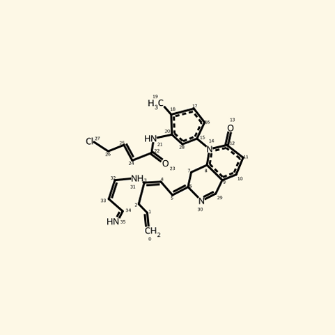 C=CC/C(=C\C=C1/Cc2c(ccc(=O)n2-c2ccc(C)c(NC(=O)/C=C/CCl)c2)C=N1)N/C=C\C=N